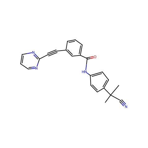 CC(C)(C#N)c1ccc(NC(=O)c2cccc(C#Cc3ncccn3)c2)cc1